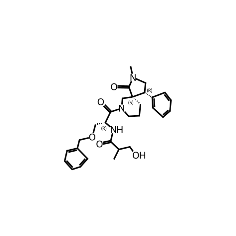 CC(CO)C(=O)N[C@H](COCc1ccccc1)C(=O)N1CCC[C@]2(C1)C(=O)N(C)C[C@@H]2c1ccccc1